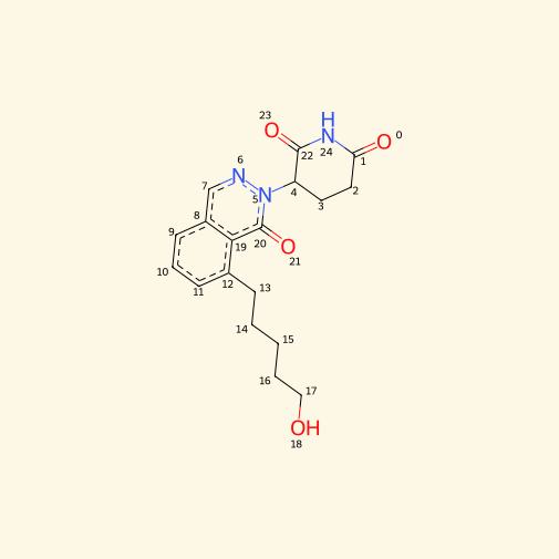 O=C1CCC(n2ncc3cccc(CCCCCO)c3c2=O)C(=O)N1